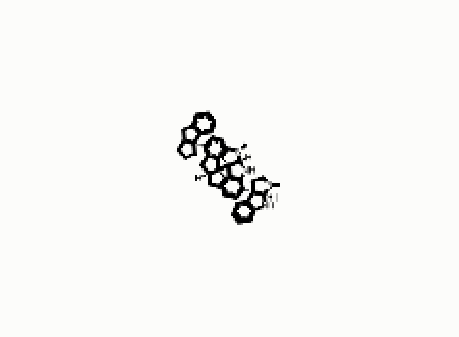 CN1CC[C@]2(c3cccc4c3N[C@H]3N(C)CC[C@@]43[C@]34CCC[C@H]3Cc3c([C@]56CCCC5Cc5ccccc56)cccc34)c3cc#ccc3N[C@H]12